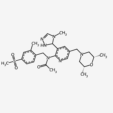 CC(=O)N(Cc1ccc(S(C)(=O)=O)cc1C)c1ncc(CN2C[C@@H](C)O[C@@H](C)C2)cc1C1NN=CN1C